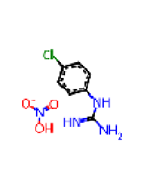 N=C(N)Nc1ccc(Cl)cc1.O=[N+]([O-])O